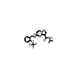 CC(C)NC(=O)c1cnn2ccc(NCc3ccccc3OC(F)(F)F)nc12